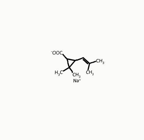 CC(C)=CC1C(C(=O)[O-])C1(C)C.[Na+]